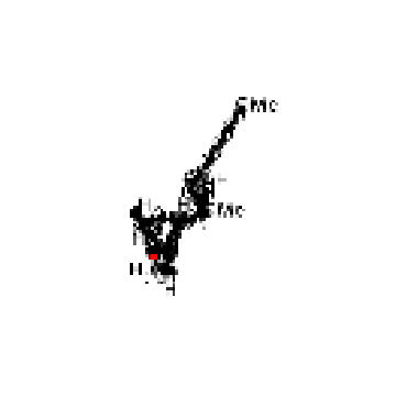 COCCOCCOCCOCCOCCOCCOCCOCCC(=O)N[C@@H](CC(=O)O)C(=O)NCN1C(=O)CCN(c2cc(C#CCNC3(C)CCN(C4CCN(c5nc([C@@](COCNC(=O)CNC(=O)[C@H](Cc6ccccc6)NC(=O)CNC(=O)CN)(OC6CC6)c6ccccc6)c6cc(-c7cn(C)c(=O)c8[nH]ccc78)ccc6n5)CC4)CC3)ccc2OC)C1=O